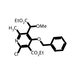 CCOC(=O)c1c(Cl)nc(C)c(C(OC)C(=O)OCC)c1OCc1ccccc1